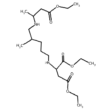 CCOC(=O)CC(C)NCC(C)CCCNC(CC(=O)OCC)C(=O)OCC